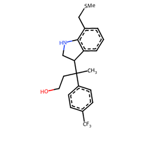 CSCc1cccc2c1NCC2C(C)(CCO)c1ccc(C(F)(F)F)cc1